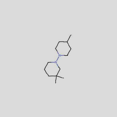 CC1CCN(N2CCCC(C)(C)C2)CC1